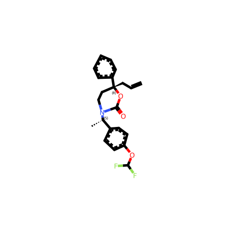 C=CC[C@]1(c2ccccc2)CCN([C@@H](C)c2ccc(OC(F)F)cc2)C(=O)O1